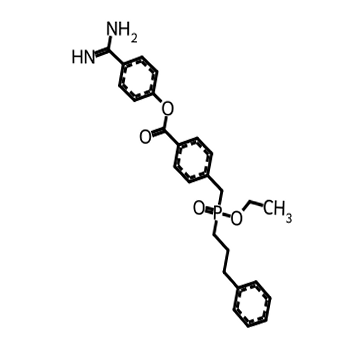 CCOP(=O)(CCCc1ccccc1)Cc1ccc(C(=O)Oc2ccc(C(=N)N)cc2)cc1